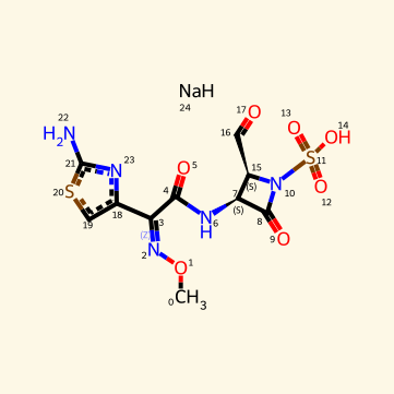 CO/N=C(\C(=O)N[C@@H]1C(=O)N(S(=O)(=O)O)[C@@H]1C=O)c1csc(N)n1.[NaH]